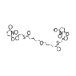 O=C(CSC(=O)CCCCOCCCCC(=O)SCC(=O)ON1C(=O)CCC1=O)ON1C(=O)CCC1=O